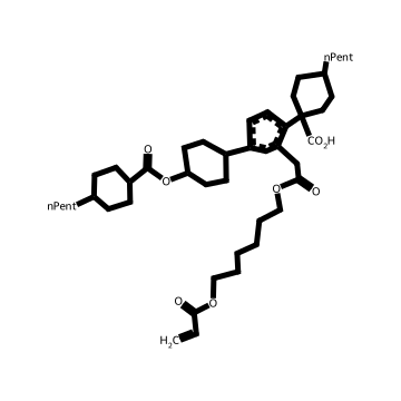 C=CC(=O)OCCCCCCOC(=O)Cc1cc(C2CCC(OC(=O)C3CCC(CCCCC)CC3)CC2)ccc1C1(C(=O)O)CCC(CCCCC)CC1